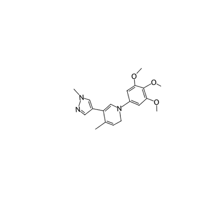 COc1cc(N2C=C(c3cnn(C)c3)C(C)=CC2)cc(OC)c1OC